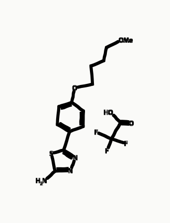 COCCCCOc1ccc(-c2nnc(N)s2)cc1.O=C(O)C(F)(F)F